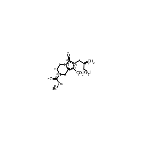 C=C(CCl)Cn1c(C(=O)OCC)c2n(c1=O)CCN(C(=O)OC(C)(C)C)C2